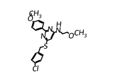 COCCNc1cc(SCc2ccc(Cl)cc2)nc(-c2ccc(OC)cc2)n1